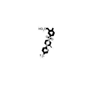 Cc1ccc(S(=O)(=O)N2CCN(c3ccc(C(F)(F)F)cn3)[C@H](C)C2)cc1CC(=O)O